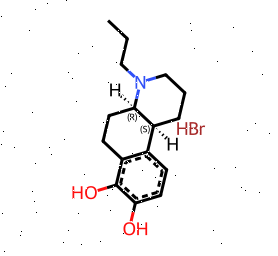 Br.CCCN1CCC[C@H]2c3ccc(O)c(O)c3CC[C@H]21